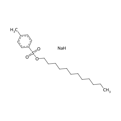 CCCCCCCCCCCCOS(=O)(=O)c1ccc(C)cc1.[NaH]